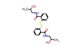 CC(O)CNC(=O)c1ccccc1SSc1ccccc1C(=O)NCC(C)O